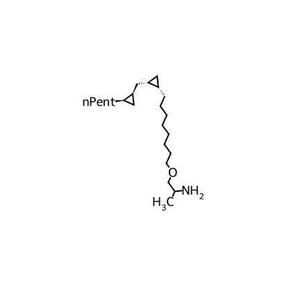 CCCCC[C@@H]1C[C@@H]1C[C@@H]1C[C@@H]1CCCCCCCCOCC(C)N